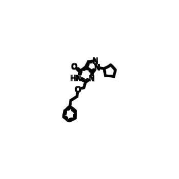 O=c1[nH]c(COCCc2ccccc2)nc2c1cnn2C1CCCC1